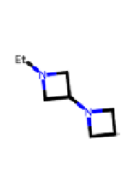 CCN1CC(N2C[CH]C2)C1